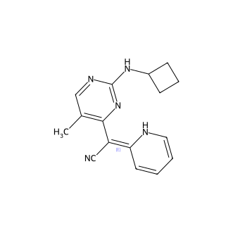 Cc1cnc(NC2CCC2)nc1/C(C#N)=C1/C=CC=CN1